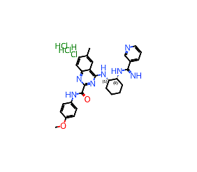 COc1ccc(NC(=O)c2nc(N[C@H]3CCCC[C@H]3NC(=N)c3cccnc3)c3cc(C)ccc3n2)cc1.Cl.Cl.Cl